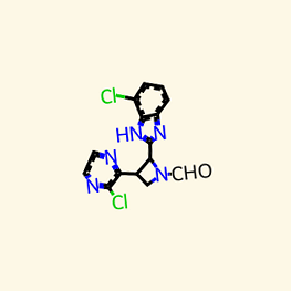 O=CN1CC(c2nccnc2Cl)C1c1nc2cccc(Cl)c2[nH]1